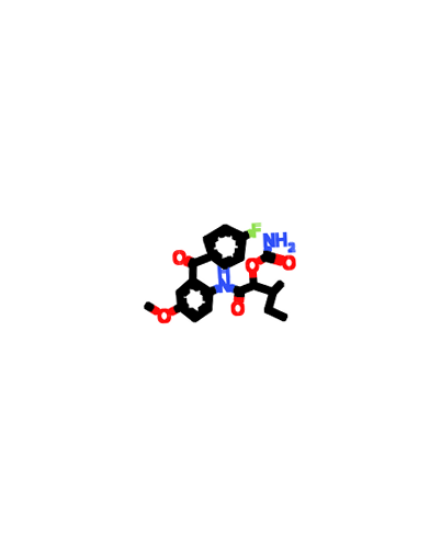 CCC(C)C(OC(N)=O)C(=O)Nc1ccc(OC)cc1C(=O)c1ccc(F)cc1